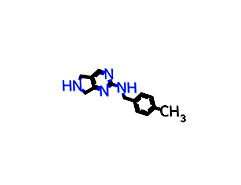 Cc1ccc(CNc2ncc3c(n2)CNC3)cc1